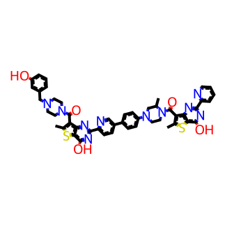 Cc1sc2c(O)nc(-c3ccc(-c4ccc(N5CCN(C(=O)c6c(C)sc7c(O)nc(-c8ccccn8)nc67)C(C)C5)cc4)cn3)nc2c1C(=O)N1CCN(Cc2cccc(O)c2)CC1